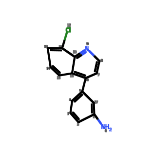 Nc1cccc(-c2[c]cnc3c(Cl)cccc23)c1